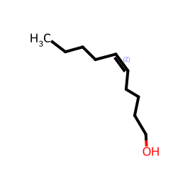 CCCC/C=C\CCCCO